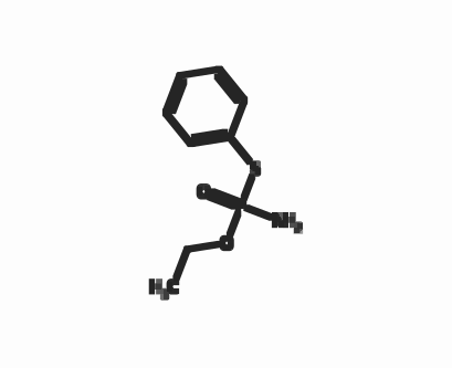 CCOP(N)(=O)Sc1ccccc1